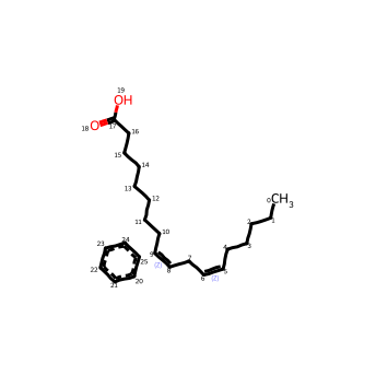 CCCCC/C=C\C/C=C\CCCCCCCC(=O)O.c1ccccc1